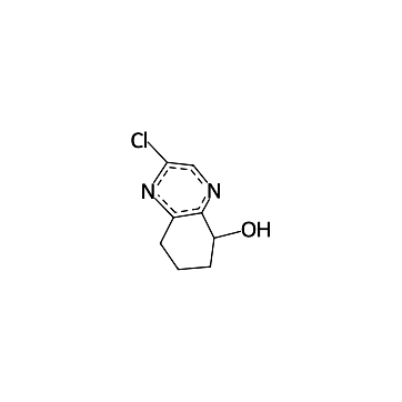 OC1CCCc2nc(Cl)cnc21